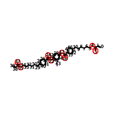 C=CC(=O)OCCCCCCc1ccc(C(=O)Oc2ccc(OC(=O)c3ccc(CCCCCCOC(=O)C=C)cc3)c(I)c2)cc1